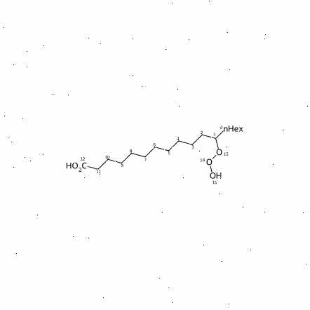 CCCCCCC(CCCCCCCCCCC(=O)O)OOO